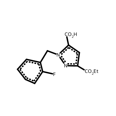 CCOC(=O)c1cc(C(=O)O)n(Cc2ccccc2F)n1